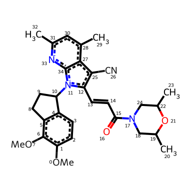 COc1ccc2c(c1OC)CCC2n1c(C=CC(=O)N2CC(C)OC(C)C2)c(C#N)c2c(C)cc(C)nc21